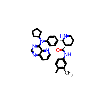 Cc1ccc(NC(=O)[C@H]2CCCN[C@H]2c2ccc(N(c3ncnc4cccnc34)C3CCCC3)cc2)cc1C(F)(F)F